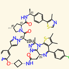 Cc1ncsc1-c1ccc([C@H](C)NC(=O)[C@@H]2C[C@@H](C)CN2C(=O)[C@H](n2cc(-c3ccnc(O[C@H]4C[C@@H](NC(=O)C[C@@H]5N=C(c6ccc(Cl)cc6)c6c(sc(C)c6C)-n6c(C)nnc65)C4)c3)cn2)C(C)(C)C)cc1